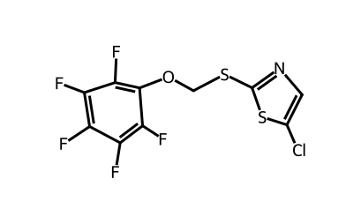 Fc1c(F)c(F)c(OCSc2ncc(Cl)s2)c(F)c1F